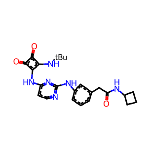 CC(C)(C)Nc1c(Nc2ccnc(Nc3cccc(CC(=O)NC4CCC4)c3)n2)c(=O)c1=O